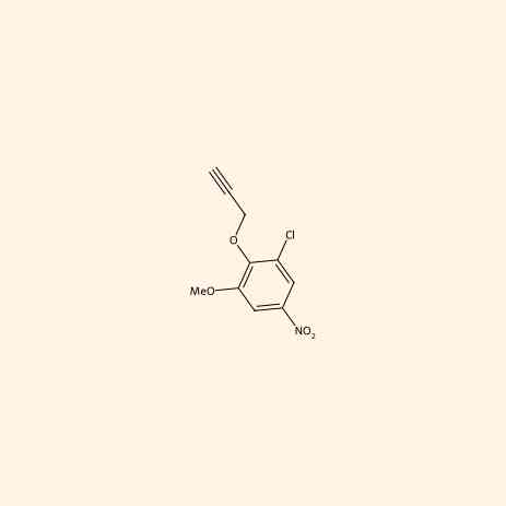 C#CCOc1c(Cl)cc([N+](=O)[O-])cc1OC